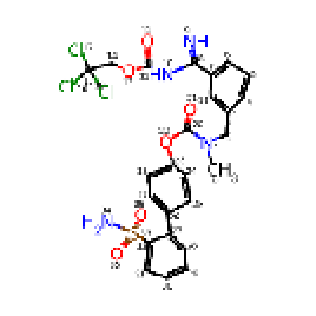 CN(Cc1cccc(C(=N)NC(=O)OCC(Cl)(Cl)Cl)c1)C(=O)Oc1ccc(-c2ccccc2S(N)(=O)=O)cc1